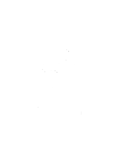 CCOC(=N)c1cc(C)n(Cc2cc(Cl)ccc2OCc2ccc(F)cc2F)n1